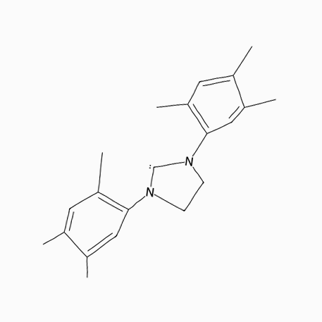 Cc1cc(C)c(N2[C]N(c3cc(C)c(C)cc3C)CC2)cc1C